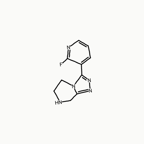 Fc1ncccc1-c1nnc2n1CCNC2